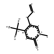 C=CCc1cn(C)c(=O)cc1C(F)(F)F